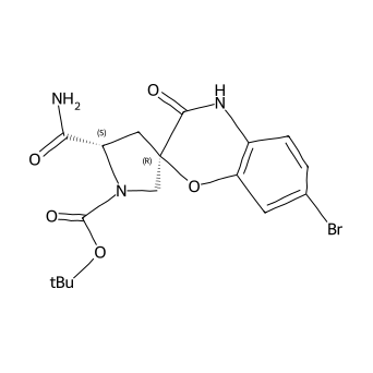 CC(C)(C)OC(=O)N1C[C@@]2(C[C@H]1C(N)=O)Oc1cc(Br)ccc1NC2=O